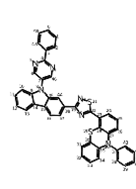 c1ccc(-c2ncc(-n3c4ccccc4c4ccc(-c5nsc(-c6cccc7c6Sc6ccccc6N7c6ccccc6)n5)cc43)cn2)cc1